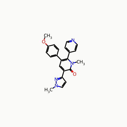 COc1ccc(-c2cc(-c3ccn(C)n3)c(=O)n(C)c2-c2ccncc2)cc1